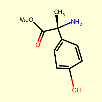 COC(=O)[C@](C)(N)c1ccc(O)cc1